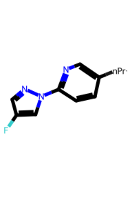 CC[CH]c1ccc(-n2cc(F)cn2)nc1